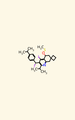 CSOC1CC2(CCC2)Cc2nc(C(C)C)c([C@@H](I)c3ccc(C(C)C)cc3)c(I)c21